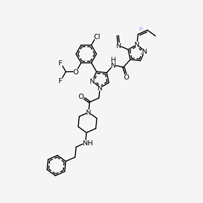 C=Nc1c(C(=O)Nc2cn(CC(=O)N3CCC(NCCc4ccccc4)CC3)nc2-c2cc(Cl)ccc2OC(F)F)cnn1/C=C\C